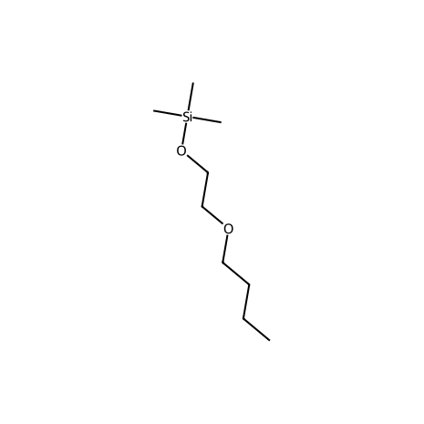 CCCCOCCO[Si](C)(C)C